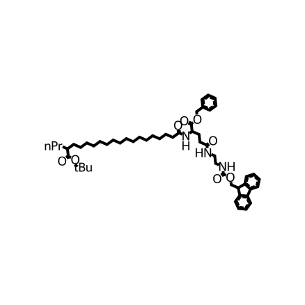 CCCC(CCCCCCCCCCCCCCCCC(=O)NC(CCC(=O)NCCNC(=O)OCC1c2ccccc2-c2ccccc21)C(=O)OCc1ccccc1)C(=O)OC(C)(C)C